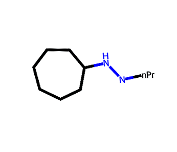 CCC[N]NC1CCCCCC1